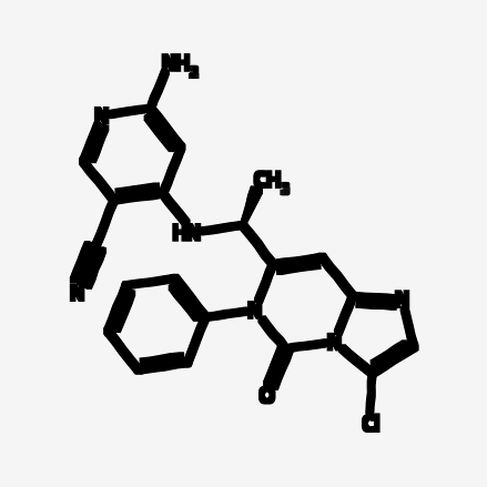 C[C@H](Nc1cc(N)ncc1C#N)c1cc2ncc(Cl)n2c(=O)n1-c1ccccc1